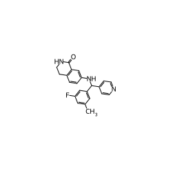 Cc1cc(F)cc(C(Nc2ccc3c(c2)C(=O)NCC3)c2ccncc2)c1